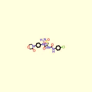 NS(=O)(=O)C[C@@H](NC(=O)Nc1ccc(Cl)cc1)C(=O)Nc1ccc(N2CCOCC2=O)cc1